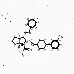 COC(=O)N1[C@@H]2CCC[C@@H]2[C@H](NCc2ccccc2)[C@@H]1COC1CCC(c2cccc(F)c2)CC1